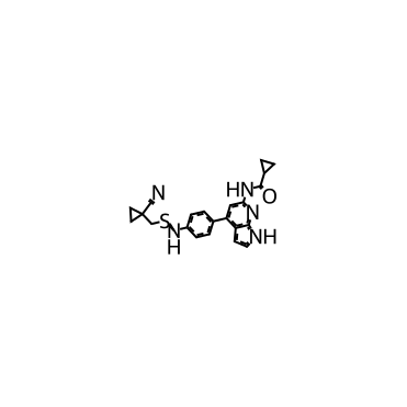 N#CC1(CSNc2ccc(-c3cc(NC(=O)C4CC4)nc4[nH]ccc34)cc2)CC1